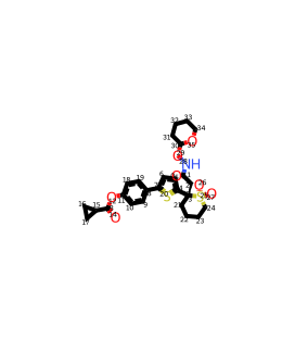 O=C(C[C@]1(c2ccc(-c3ccc(OC(=O)C4CC4)cc3)s2)CCCCS1(=O)=O)NOC1CCCCO1